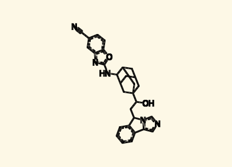 N#Cc1ccc2oc(NC3C4CC5CC3CC(C(O)CC3c6ccccc6-c6cncn63)(C5)C4)nc2c1